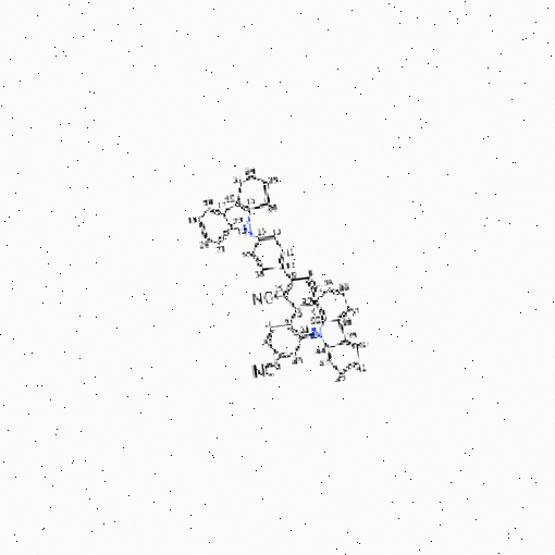 N#Cc1ccc(-c2cc#cc(C3=CCC(n4c5c(c6ccccc64)CCC=C5)C=C3)c2C#N)c(-n2c3ccccc3c3ccccc32)c1